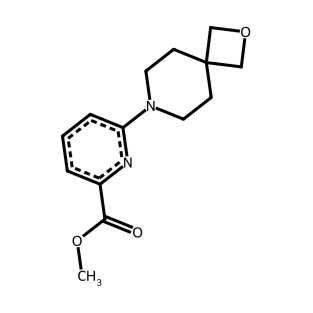 COC(=O)c1cccc(N2CCC3(CC2)COC3)n1